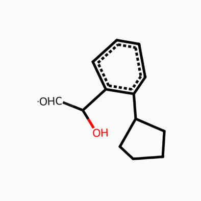 O=[C]C(O)c1ccccc1C1CCCC1